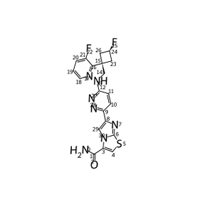 NC(=O)c1csc2nc(-c3ccc(NC[C@]4(c5ncccc5F)C[C@H](F)C4)nn3)cn12